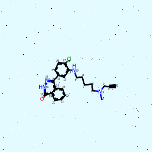 C#CCN(C)CCCCCNc1cc(-c2n[nH]c(=O)c3ccccc23)ccc1Cl